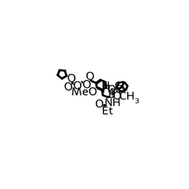 CCC(=O)NC(Cc1cccc(C(=O)OCOC(=O)OC2CCCC2)c1OC)B1OC2CC3CC(C3(C)C)C2(C)O1